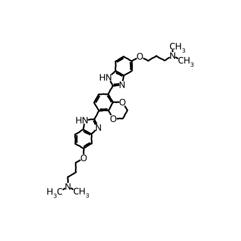 CN(C)CCCOc1ccc2[nH]c(-c3ccc(-c4nc5cc(OCCCN(C)C)ccc5[nH]4)c4c3OCCO4)nc2c1